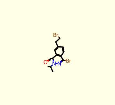 CC(C)N1N=C(Br)c2ccc(CCBr)cc2C1C=O